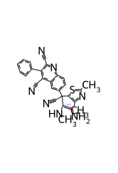 CN/C(=C\N)C(C#N)(c1ccc2nc(C#N)c(-c3ccccc3)c(C#N)c2c1)c1sc(C)nc1C